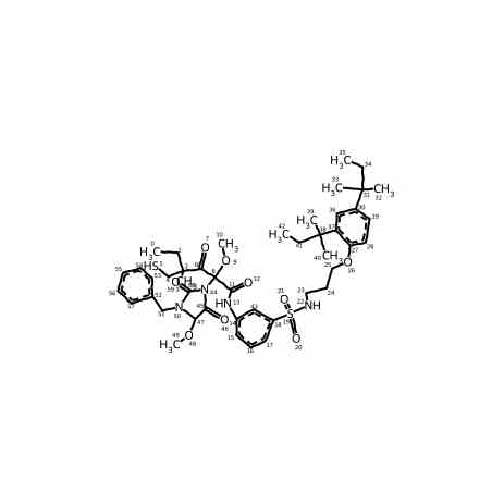 CCC(C)(CS)C(=O)C(OC)(C(=O)Nc1cccc(S(=O)(=O)NCCCOc2ccc(C(C)(C)CC)cc2C(C)(C)CC)c1)N1C(=O)C(OC)N(Cc2ccccc2)C1=O